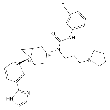 O=C(Nc1cccc(F)c1)N(CCCN1CCCC1)[C@@H]1CC[C@]2(c3cccc(-c4ncc[nH]4)c3)CC2C1